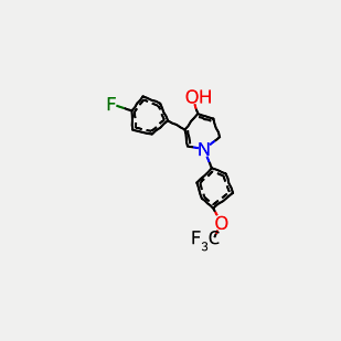 OC1=CCN(c2ccc(OC(F)(F)F)cc2)C=C1c1ccc(F)cc1